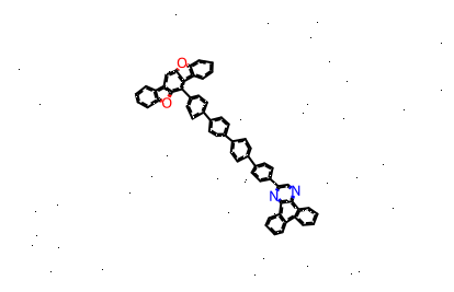 c1ccc2c(c1)oc1c(-c3ccc(-c4ccc(-c5ccc(-c6ccc(-c7cnc8c9ccccc9c9ccccc9c8n7)cc6)cc5)cc4)cc3)c3c(cc12)oc1ccccc13